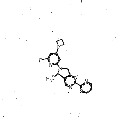 CC1c2cnc(-c3ncccn3)nc2CN1c1cc(N2CCC2)cc(F)n1